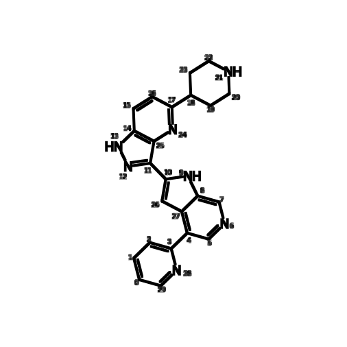 c1ccc(-c2cncc3[nH]c(-c4n[nH]c5ccc(C6CCNCC6)nc45)cc23)nc1